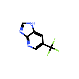 FC(F)(F)c1cnc2nc[nH]c2c1